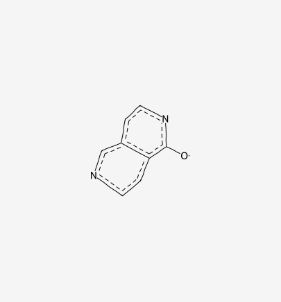 [O]c1nccc2cnccc12